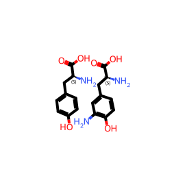 N[C@@H](Cc1ccc(O)cc1)C(=O)O.Nc1cc(C[C@H](N)C(=O)O)ccc1O